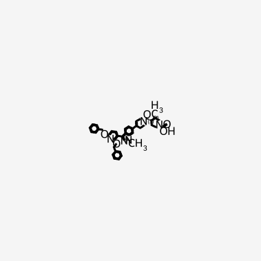 C[C@H]1CN(C(=O)O)CC[C@@H]1C(=O)N1CC=C(c2ccc3c(-c4ccc(OCc5ccccc5)nc4OCc4ccccc4)nn(C)c3c2)CC1